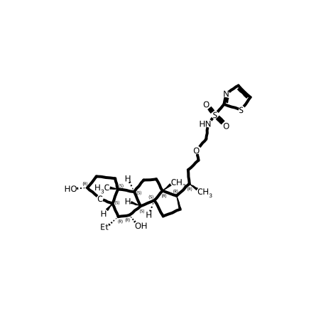 CC[C@H]1[C@@H](O)[C@@H]2[C@H](CC[C@]3(C)[C@@H]([C@H](C)CCOCNS(=O)(=O)c4nccs4)CC[C@@H]23)[C@@]2(C)CC[C@@H](O)C[C@@H]12